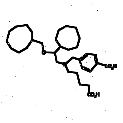 O=C(O)CCCCN(Cc1ccc(C(=O)O)cc1)CC(OCC1CCCCCCCC1)C1CCCCCCC1